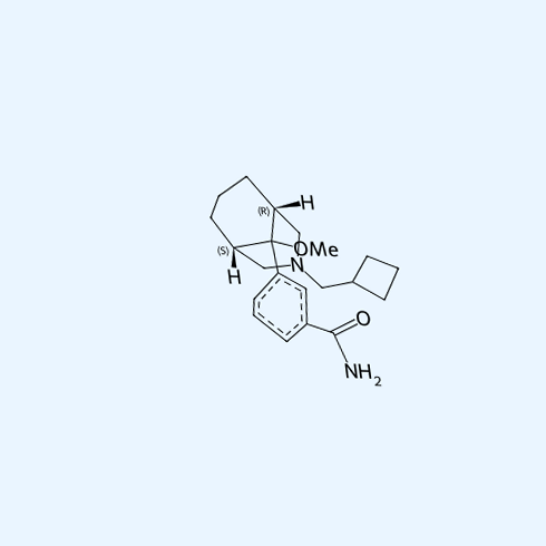 COC1(c2cccc(C(N)=O)c2)[C@@H]2CCC[C@H]1CN(CC1CCC1)C2